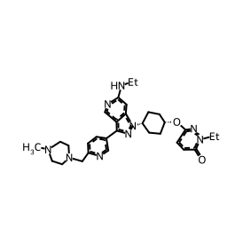 CCNc1cc2c(cn1)c(-c1ccc(CN3CCN(C)CC3)nc1)nn2[C@H]1CC[C@@H](Oc2ccc(=O)n(CC)n2)CC1